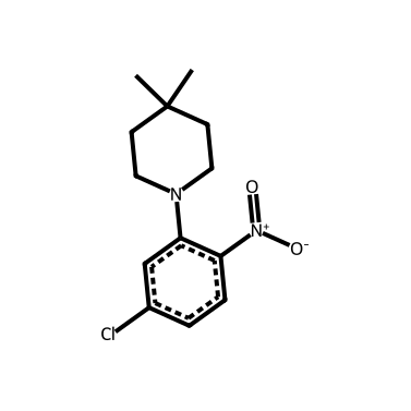 CC1(C)CCN(c2cc(Cl)ccc2[N+](=O)[O-])CC1